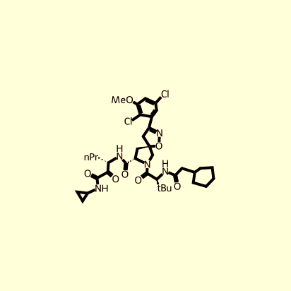 CCC[C@H](NC(=O)[C@@H]1C[C@]2(CC(c3cc(Cl)cc(OC)c3Cl)=NO2)CN1C(=O)[C@@H](NC(=O)CC1CCCCC1)C(C)(C)C)C(=O)C(=O)NC1CC1